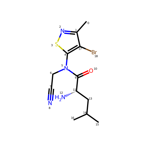 Cc1nsc(N(CC#N)C(=O)[C@@H](N)CC(C)C)c1Br